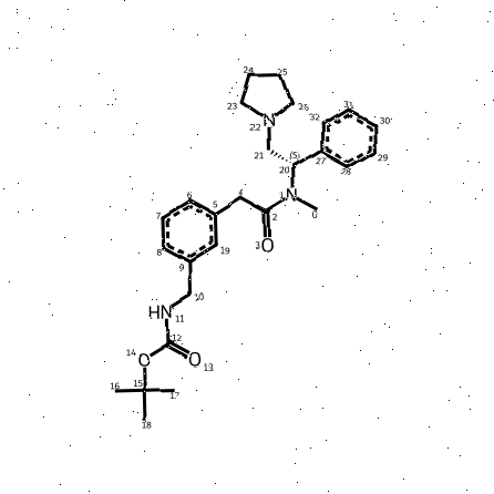 CN(C(=O)Cc1cccc(CNC(=O)OC(C)(C)C)c1)[C@H](CN1CCCC1)c1ccccc1